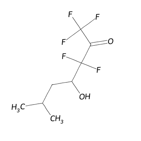 CC(C)CC(O)C(F)(F)C(=O)C(F)(F)F